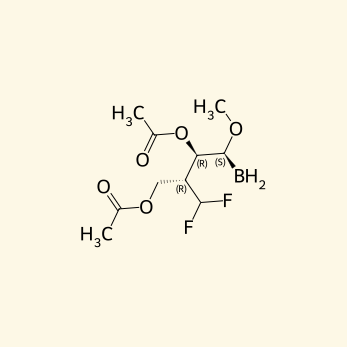 B[C@H](OC)[C@H](OC(C)=O)[C@@H](COC(C)=O)C(F)F